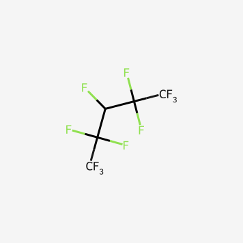 FC(C(F)(F)C(F)(F)F)C(F)(F)C(F)(F)F